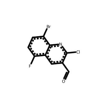 O=Cc1cc2c(F)ccc(Br)c2nc1Cl